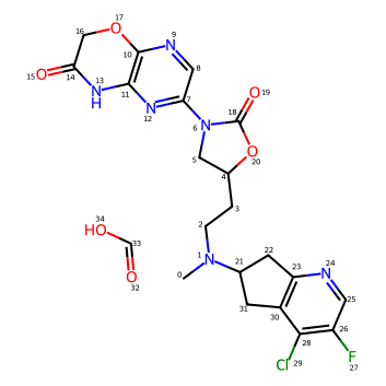 CN(CCC1CN(c2cnc3c(n2)NC(=O)CO3)C(=O)O1)C1Cc2ncc(F)c(Cl)c2C1.O=CO